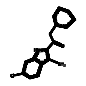 Nc1c(C(=O)Cc2ccccc2)[nH]c2cc(Cl)ccc12